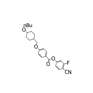 CCCCOC1CCC(COc2ccc(C(=O)Oc3ccc(C#N)c(F)c3)cc2)CC1